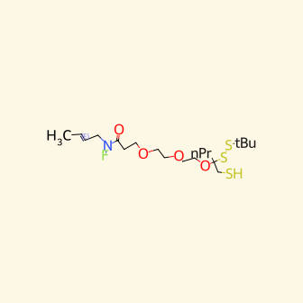 C/C=C/CN(F)C(=O)CCOCCOCCOC(CS)(CCC)SSC(C)(C)C